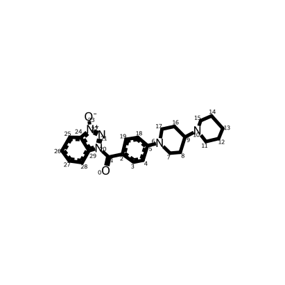 O=C(c1ccc(N2CCC(N3CCCCC3)CC2)cc1)n1n[n+]([O-])c2ccccc21